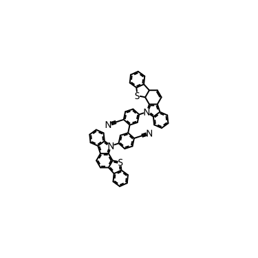 N#Cc1ccc(-n2c3c(c4ccccc42)C=CC2c4ccccc4SC32)cc1-c1cc(-n2c3ccccc3c3ccc4c5ccccc5sc4c32)ccc1C#N